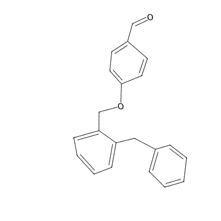 O=Cc1ccc(OCc2ccccc2Cc2ccccc2)cc1